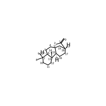 C=C1C[C@@]23CC[C@@H]4C(C)(C)CCC[C@@]4(C)[C@@H]2CC[C@@H]1C3